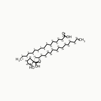 CCCCCCCCCCCCCCCC(=O)O.CCCCCCCCCCCCCCCC[C@@]1(C(=O)O)CCCN1O